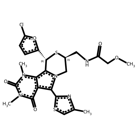 COCC(=O)NC[C@H]1Cn2c(-c3nc(C)cs3)c3c(=O)n(C)c(=O)n(C)c3c2[C@H](c2ccc(Cl)o2)S1